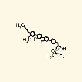 C=C(C)C(=O)OCC(CO)CC1CCC(c2ccc(-c3ccc(-c4ccc(CCCCC)c(CC)c4)c(F)c3)c(F)c2)CC1